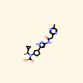 Cc1cnc(CC(=O)Nc2cc(C3CCC(N(C(=O)O)[C@@H](C)C4CC4)C3)[nH]n2)cn1